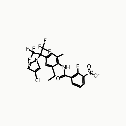 CCc1cc(C(n2cc(Cl)cn2)(C(F)(F)F)C(F)(F)F)cc(C)c1NC(=O)c1cccc([N+](=O)[O-])c1F